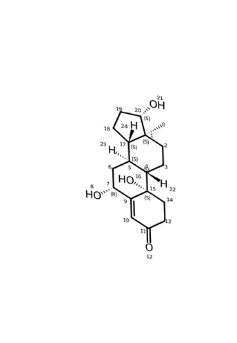 C[C@]12CC[C@H]3[C@@H](C[C@@H](O)C4=CC(=O)CC[C@@]43O)[C@@H]1CC[C@@H]2O